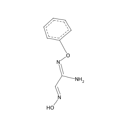 NC(C=NO)=NOc1ccccc1